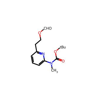 CN(C(=O)OC(C)(C)C)c1cccc(CCOC=O)n1